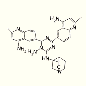 Cc1cc(N)c2cc(C3=NC(c4ccc5nc(C)cc(N)c5c4)N(N)C(NC4CN5CCC4CC5)=N3)ccc2n1